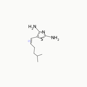 CC(C)CC/C=C\c1sc(N)nc1N